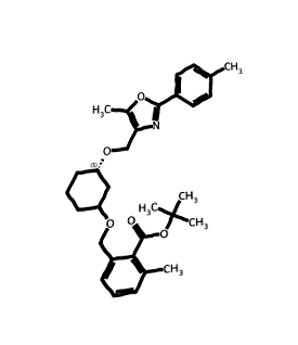 Cc1ccc(-c2nc(CO[C@H]3CCCC(OCc4cccc(C)c4C(=O)OC(C)(C)C)C3)c(C)o2)cc1